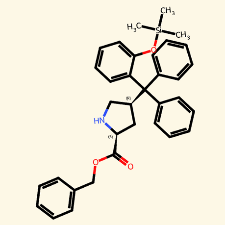 C[Si](C)(C)Oc1ccccc1C(c1ccccc1)(c1ccccc1)[C@@H]1CN[C@H](C(=O)OCc2ccccc2)C1